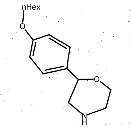 CCCCCCOc1ccc(C2CNCCO2)cc1